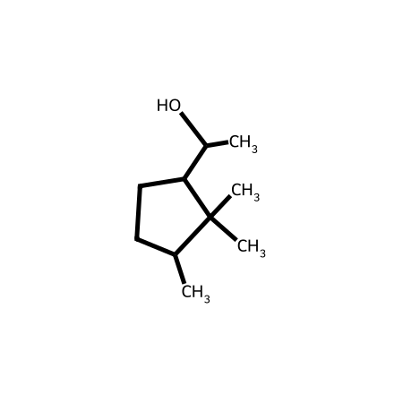 CC(O)C1CCC(C)C1(C)C